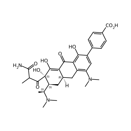 CC(C(N)=O)C(=O)[C@@]1(O)C(O)=C2C(=O)c3c(O)c(-c4ccc(C(=O)O)cc4)cc(N(C)C)c3C[C@H]2C[C@H]1[C@H](C)N(C)C